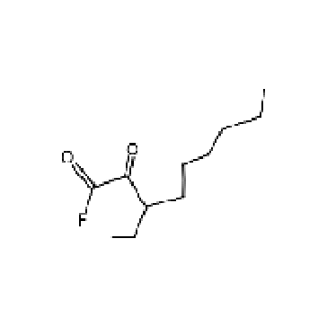 CCCCCCC(CC)C(=O)C(=O)F